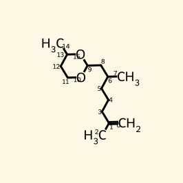 C=C(C)CCCC(C)CC1OCCC(C)O1